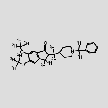 [2H]C([2H])([2H])Oc1cc2c(cc1OC([2H])([2H])[2H])C([2H])([2H])C(C([2H])([2H])C1CCN(C([2H])([2H])c3ccccc3)CC1)C2=O